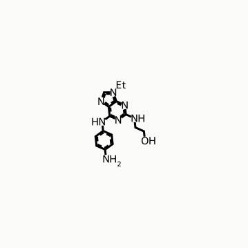 CCn1cnc2c(Nc3ccc(N)cc3)nc(NCCO)nc21